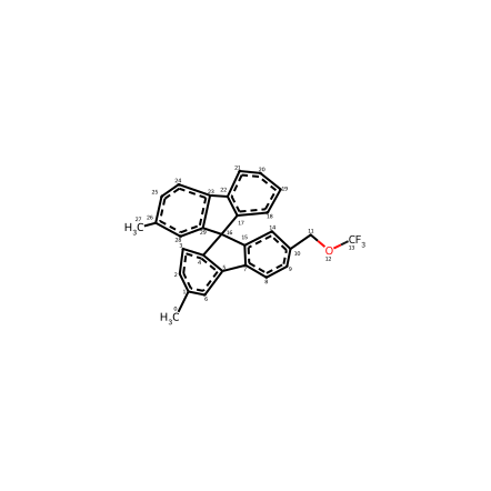 Cc1ccc2c(c1)-c1ccc(COC(F)(F)F)cc1C21c2ccccc2-c2ccc(C)cc21